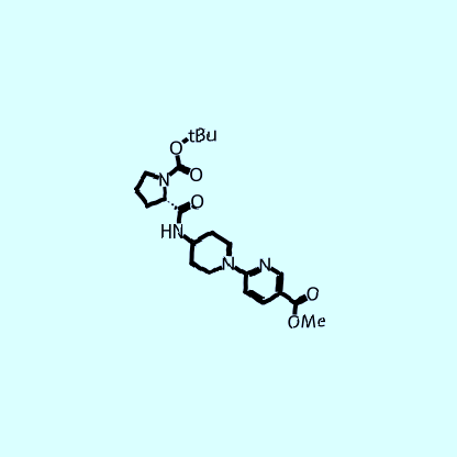 COC(=O)c1ccc(N2CCC(NC(=O)[C@@H]3CCCN3C(=O)OC(C)(C)C)CC2)nc1